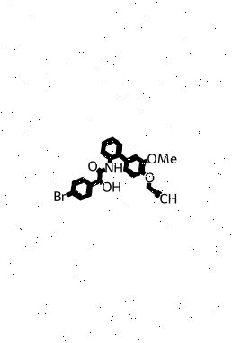 C#CCOc1ccc(-c2ccccc2NC(=O)C(O)c2ccc(Br)cc2)cc1OC